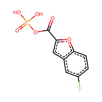 O=C(OP(=O)(O)O)c1cc2cc(F)ccc2o1